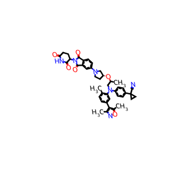 Cc1ccc(-c2c(C)noc2C)cc1N(CC(C)O[C@@H]1CCN(c2ccc3c(c2)C(=O)N(C2CCC(=O)NC2=O)C3=O)C1)c1ccc(C2(C#N)CC2)cc1